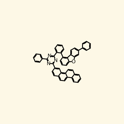 c1ccc(-c2ccc3c(c2)oc2cccc(-c4ccccc4-c4nc(-c5ccccc5)nc(-c5ccc6ccc7c8ccccc8ccc7c6c5)n4)c23)cc1